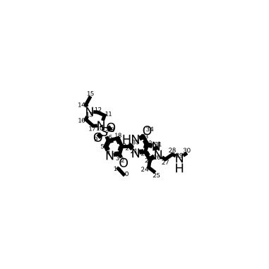 CCOc1ncc(S(=O)(=O)N2CCN(CC)CC2)cc1-c1nc2c(CC)n(CCNC)nc2c(=O)[nH]1